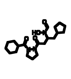 O=CN(O)C(CC(=O)N1CCCN1C(=O)C1CCCCC1)CC1CCCC1